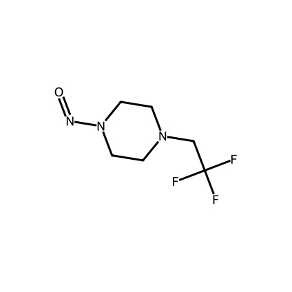 O=NN1CCN(CC(F)(F)F)CC1